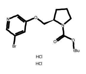 CC(C)(C)OC(=O)N1CCC[C@@H]1COc1cncc(Br)c1.Cl.Cl